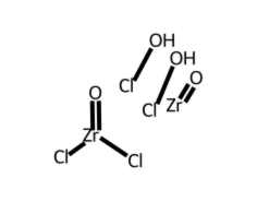 OCl.OCl.[O]=[Zr].[O]=[Zr]([Cl])[Cl]